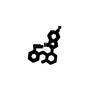 COc1ccccc1CN1C(C)CCCC1c1cc2cc(F)ccc2[nH]1